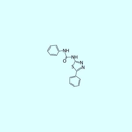 O=C(Nc1ccccc1)Nc1nnc(-c2ccccc2)s1